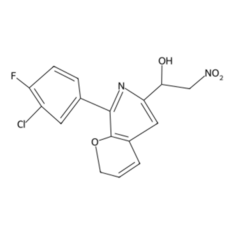 O=[N+]([O-])CC(O)c1cc2c(c(-c3ccc(F)c(Cl)c3)n1)OCC=C2